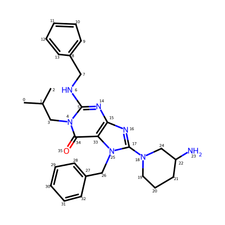 CC(C)Cn1c(NCc2ccccc2)nc2nc(N3CCCC(N)C3)n(Cc3ccccc3)c2c1=O